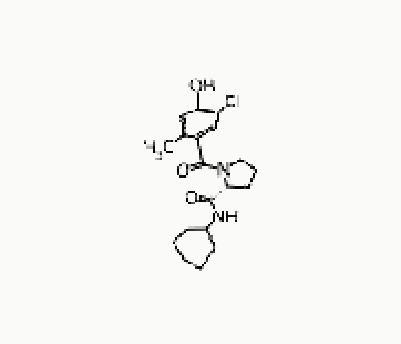 Cc1cc(O)c(Cl)cc1C(=O)N1CCC[C@@H]1C(=O)NC1CCCCC1